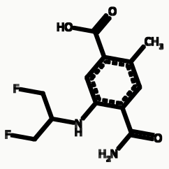 Cc1cc(C(N)=O)c(NC(CF)CF)cc1C(=O)O